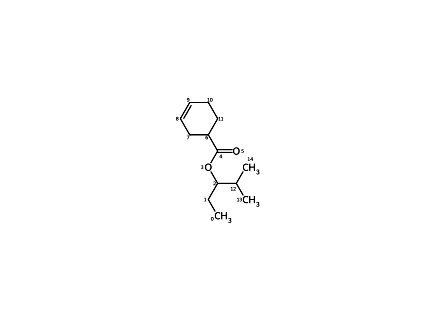 CCC(OC(=O)C1CC=CCC1)C(C)C